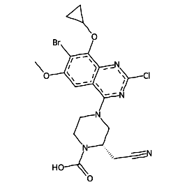 COc1cc2c(N3CCN(C(=O)O)[C@@H](CC#N)C3)nc(Cl)nc2c(OC2CC2)c1Br